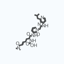 CC(C)Cc1nccc2[nH]c(Cn3cccc(NC(=O)C(CCC=CC(=O)N(C)C)NC(=O)O)c3=O)nc12